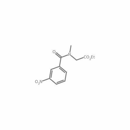 CCOC(=O)CN(C)C(=O)c1cccc([N+](=O)[O-])c1